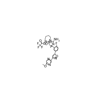 COc1cnc(-c2cc(-c3ccc(F)c([C@]4(C)C[SH]5(=O)N(OC(=O)C(F)(F)F)CCCCN5C(N)=N4)c3)on2)cn1